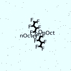 CCCCCCCC[O][Sn]([O]CCCCCCCC)([CH](F)C(F)C(F)C(F)F)[CH](F)C(F)C(F)C(F)F